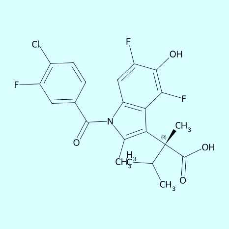 Cc1c([C@](C)(C(=O)O)C(C)C)c2c(F)c(O)c(F)cc2n1C(=O)c1ccc(Cl)c(F)c1